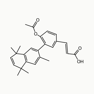 CC(=O)Oc1ccc(C=CC(=O)O)cc1-c1cc2c(cc1C)C(C)(C)C=CC2(C)C